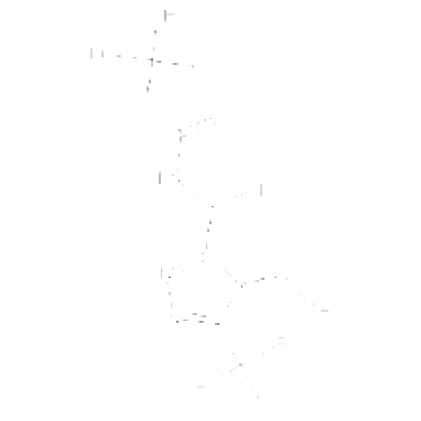 CCn1c(C(C)NC(=O)OC(C)(C)C)nnc1C(F)(F)F